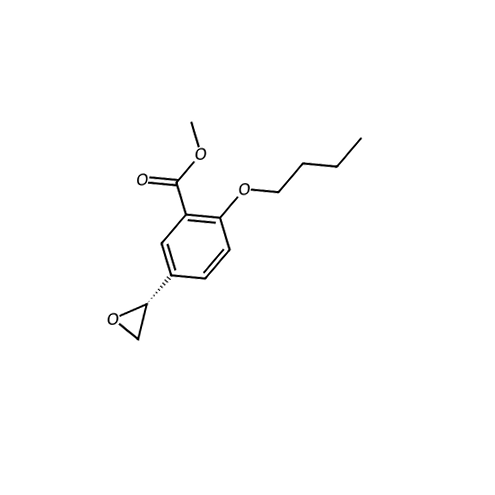 CCCCOc1ccc([C@@H]2CO2)cc1C(=O)OC